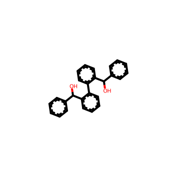 OC(c1ccccc1)c1ccccc1-c1ccccc1C(O)c1ccccc1